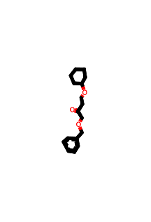 O=C(CCOC1CCCCC1)COCc1ccccc1